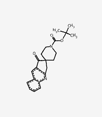 CC(C)(C)OC(=O)N1CCC2(CC1)Cc1nc3ccccc3cc1C2=O